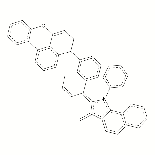 C=c1/c(=C(\C=C/C)c2cccc(C3CC=C4Oc5ccccc5-c5cccc3c54)c2)n(-c2ccccc2)c2c1ccc1ccccc12